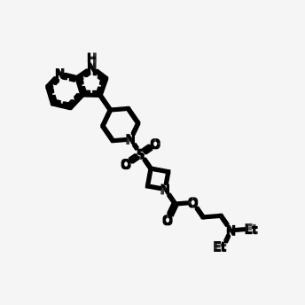 CCN(CC)CCOC(=O)N1CC(S(=O)(=O)N2CCC(c3c[nH]c4ncccc34)CC2)C1